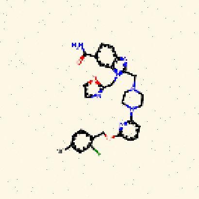 N#Cc1ccc(COc2cccc(N3CCN(Cc4nc5ccc(C(N)=O)cc5n4Cc4ncco4)CC3)n2)c(F)c1